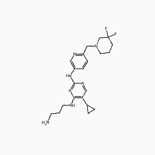 NCCCNc1nc(Nc2ccc(CN3CCCC(F)(F)C3)nc2)ncc1C1CC1